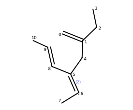 C=C(CC)C/C(=[C]/C)C=CC